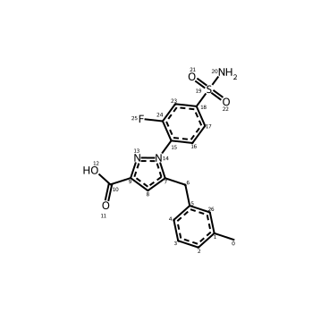 Cc1cccc(Cc2cc(C(=O)O)nn2-c2ccc(S(N)(=O)=O)cc2F)c1